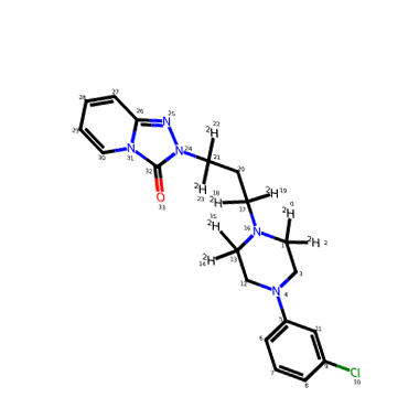 [2H]C1([2H])CN(c2cccc(Cl)c2)CC([2H])([2H])N1C([2H])([2H])CC([2H])([2H])n1nc2ccccn2c1=O